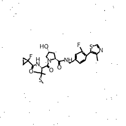 CSC(C)(C)[C@H](NC(=O)C1(F)CC1)C(=O)N1C[C@H](O)C[C@H]1C(=O)NCc1ccc(-c2scnc2C)c(F)c1